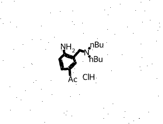 CCCCN(CCCC)Cc1cc(C(C)=O)ccc1N.Cl